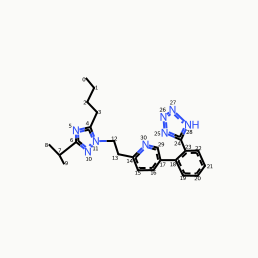 CCCCc1nc(C(C)C)nn1CCc1ccc(-c2ccccc2-c2nnn[nH]2)cn1